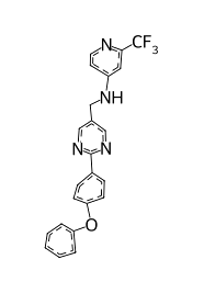 FC(F)(F)c1cc(NCc2cnc(-c3ccc(Oc4ccccc4)cc3)nc2)ccn1